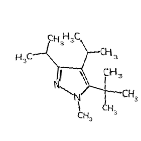 CC(C)c1nn(C)c(C(C)(C)C)c1C(C)C